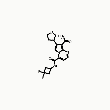 NC(=O)c1c(C2CCOC2)nn2c(C(=O)NC3CC(F)(F)C3)ccnc12